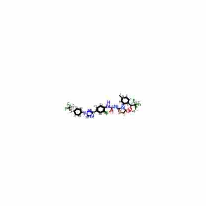 COC(c1ccc(C)cc1N1C(=O)CS/C1=N\C(=O)Nc1ccc(-c2ncn(-c3ccc(SC(F)(F)F)cc3)n2)cc1F)C(F)(F)F